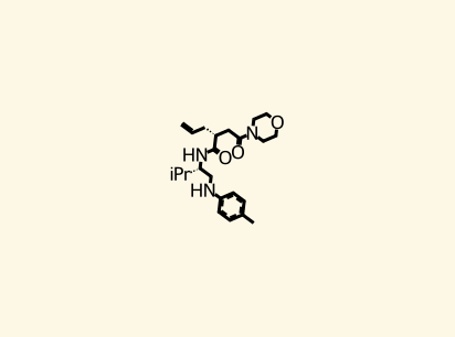 C=CC[C@H](CC(=O)N1CCOCC1)C(=O)N[C@H](CNc1ccc(C)cc1)C(C)C